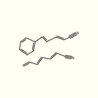 C=CC=CC=CC#N.N#CC=CC=Cc1ccccc1